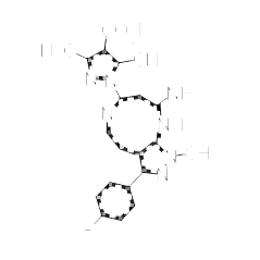 CCOC(=O)c1c(C)nn(-c2cc(N)[nH]c3c(ccn2)c(-c2ccc(F)cc2)nn3C)c1C